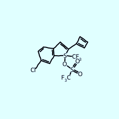 O=S(=O)(OS1(C(F)(F)F)C(C2=CC=C2)=Cc2ccc(Cl)cc21)C(F)(F)F